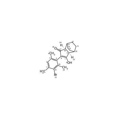 Cc1cc(C)c(C2=C(O)[C@@H]3C4CCC(CC4)[C@@H]3C2=O)c(C)c1Br